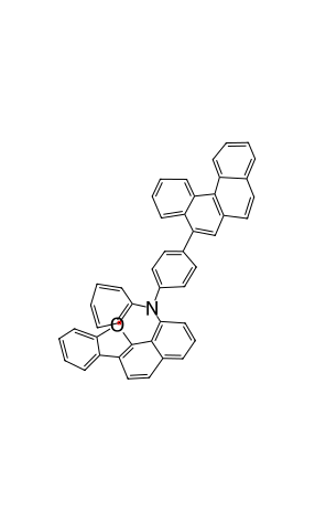 c1ccc(N(c2ccc(-c3cc4ccc5ccccc5c4c4ccccc34)cc2)c2cccc3ccc4c5ccccc5oc4c23)cc1